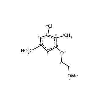 COCCOc1cc(C(=O)O)cc(Cl)c1C